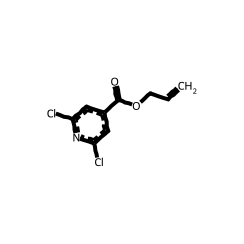 C=CCOC(=O)c1cc(Cl)nc(Cl)c1